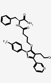 NC(=O)[C@H](Cc1ccccc1)NC(=O)CCCOc1c(CCO)c(-c2cccnc2)nn1-c1ccc(C(F)(F)F)cc1